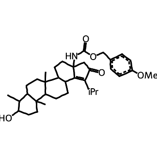 COc1ccc(COC(=O)NC23CCC4C(CCC5C4(C)CCC4C(C)C(O)CCC45C)C2=C(C(C)C)C(=O)C3)cc1